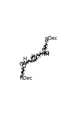 CCCCCCCCCCCSCCCOC(=O)NCCCN1CCN(CCCNC(=O)OCCCSCCCCCCCCCCC)CC1